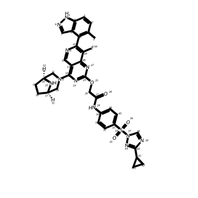 Cc1ccc2[nH]ncc2c1-c1ncc2c(N3C[C@H]4CC[C@@H](C3)N4)nc(OCC(=O)Nc3ccc(S(=O)(=O)n4cnc(C5CC5)n4)cc3)nc2c1F